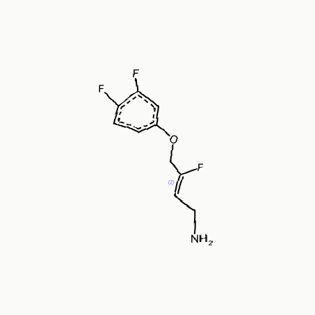 NC/C=C(\F)COc1ccc(F)c(F)c1